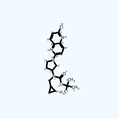 CC(C)(C)OC(=O)N(CC1CC1)C1CCN(c2ccc3nc(Cl)ccc3n2)C1